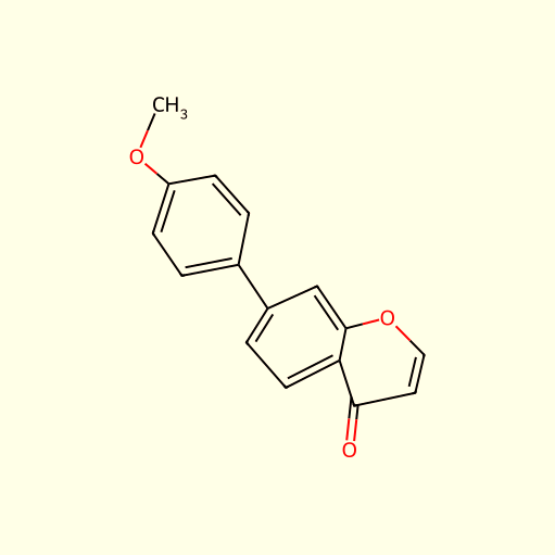 COc1ccc(-c2ccc3c(=O)ccoc3c2)cc1